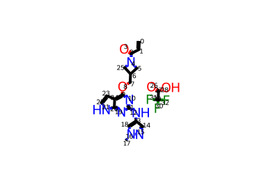 C=CC(=O)N1CC(COc2nc(Nc3cnn(C)c3)nc3[nH]ccc23)C1.O=C(O)C(F)(F)F